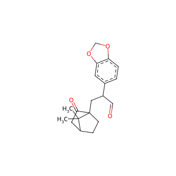 CC1(C)C2CCC1(CC(C=O)c1ccc3c(c1)OCO3)C(=O)C2